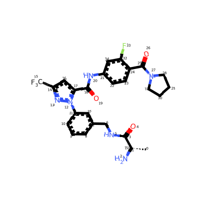 C[C@H](N)C(=O)NCc1cccc(-n2nc(C(F)(F)F)cc2C(=O)Nc2ccc(C(=O)N3CCCC3)c(F)c2)c1